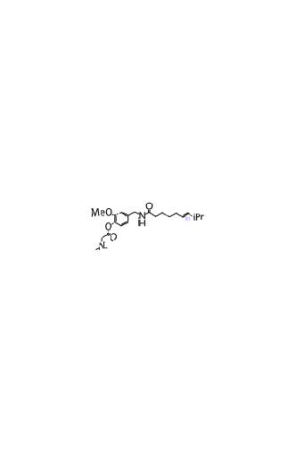 COc1cc(CNC(=O)CCCC/C=C/C(C)C)ccc1OC(=O)CN(C)C